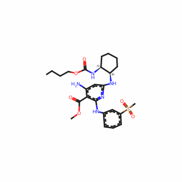 CCCCOC(=O)N[C@H]1CCCC[C@H]1Nc1cc(N)c(C(=O)OC)c(Nc2cccc(S(C)(=O)=O)c2)n1